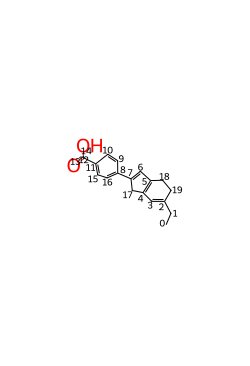 CCC1=CC2=C(C=C(c3ccc(C(=O)O)cc3)C2)CC1